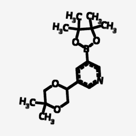 CC1(C)COC(c2cncc(B3OC(C)(C)C(C)(C)O3)c2)CO1